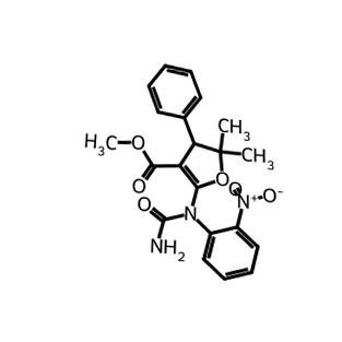 COC(=O)C1=C(N(C(N)=O)c2ccccc2[N+](=O)[O-])OC(C)(C)C1c1ccccc1